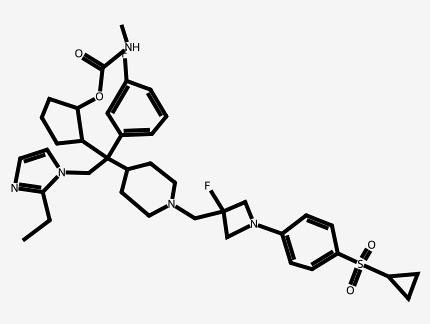 CCc1nccn1CC(c1cccc(F)c1)(C1CCN(CC2(F)CN(c3ccc(S(=O)(=O)C4CC4)cc3)C2)CC1)C1CCCC1OC(=O)NC